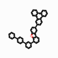 c1ccc(-c2ccc(-c3cccc(-c4cccc5c4oc4ccc(-c6ccc7c8ccccc8c8ccccc8c7c6)cc45)c3)cc2)cc1